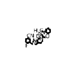 CN1C(=O)[C@@H](N2CCc3cn(Cc4cc(C#N)ccc4F)nc3C2=O)COc2ccccc21